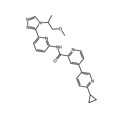 COCC(C)n1cnnc1-c1cccc(NC(=O)c2cc(-c3ccc(C4CC4)nc3)ccn2)n1